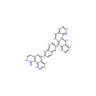 C1=Cc2cc(-c3ccc4cc(-c5c6ccccc6nc6c5ccc5cccnc56)ccc4c3)c3cccnc3c2NC1